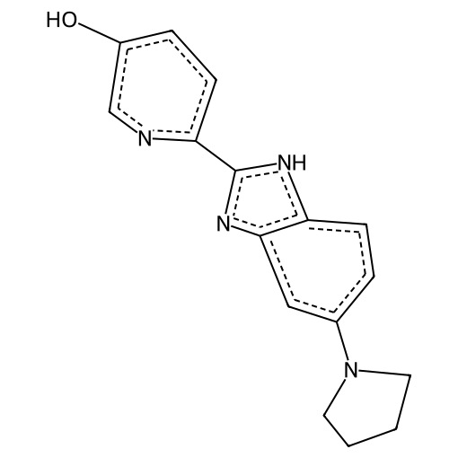 Oc1ccc(-c2nc3cc(N4CCCC4)ccc3[nH]2)nc1